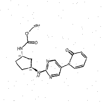 CC(C)(C)OC(=O)N[C@H]1CC[C@H](Nc2ncc(-n3ccccc3=O)cn2)C1